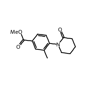 COC(=O)c1ccc(N2CCCCC2=O)c(C)c1